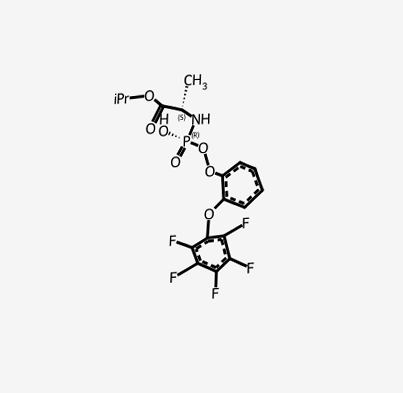 CC(C)OC(=O)[C@H](C)N[P@@](=O)(O)OOc1ccccc1Oc1c(F)c(F)c(F)c(F)c1F